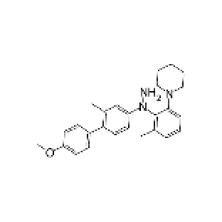 COc1ccc(-c2ccc(N(N)c3c(C)cccc3N3CCCCC3)cc2C)cc1